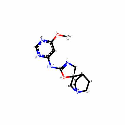 CC(C)Oc1cc(NC2=NC[C@@]3(CN4CCC3CC4)O2)ncn1